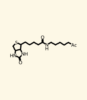 CC(=O)CCCCCNC(=O)CCCCC1SCC2NC(=O)NC21